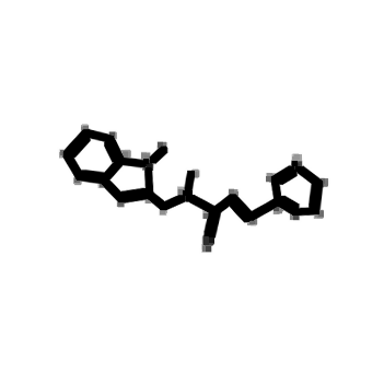 CN(Cc1cc2ccccc2n1C)C(=O)/C=C/c1cccnc1